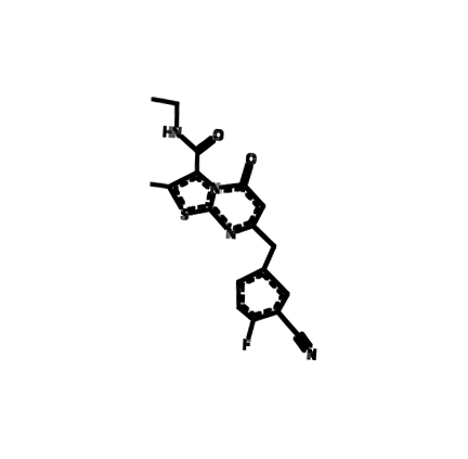 CCNC(=O)c1c(C)sc2nc(Cc3ccc(F)c(C#N)c3)cc(=O)n12